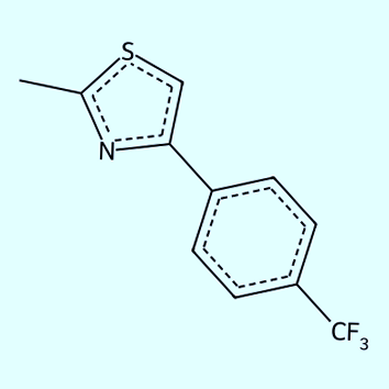 Cc1nc(-c2ccc(C(F)(F)F)cc2)cs1